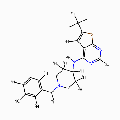 [2H]c1nc(N([2H])C2([2H])C([2H])([2H])CN(C([2H])c3c([2H])cc([2H])c(C#N)c3[2H])CC2([2H])[2H])c2c([2H])c(C([2H])(C)C)sc2n1